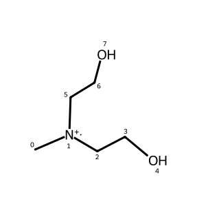 C[N+](CCO)CCO